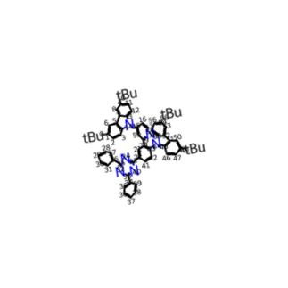 CC(C)(C)c1ccc2c(c1)c1cc(C(C)(C)C)ccc1n2-c1ccnc(-c2cc(-c3nc(-c4ccccc4)nc(-c4ccccc4)n3)ccc2-n2c3ccc(C(C)(C)C)cc3c3cc(C(C)(C)C)ccc32)c1